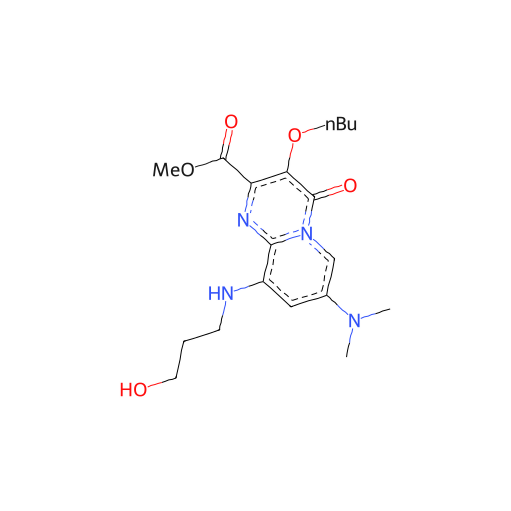 CCCCOc1c(C(=O)OC)nc2c(NCCCO)cc(N(C)C)cn2c1=O